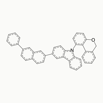 c1ccc(-c2ccc3ccc(-c4ccc5c(c4)c4ccccc4n5-c4cccc5c4-c4ccccc4CO5)cc3c2)cc1